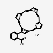 Cl.O=C(O)c1ccccc1-c1cc2cc3nc(cc4ccc(cc5nc(cc1[nH]2)C=C5)[nH]4)C=C3